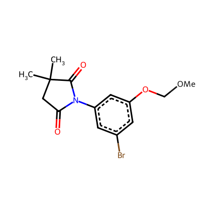 COCOc1cc(Br)cc(N2C(=O)CC(C)(C)C2=O)c1